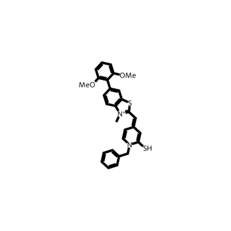 COc1cccc(OC)c1-c1ccc2c(c1)sc(C=C1C=CN(Cc3ccccc3)C(S)=C1)[n+]2C